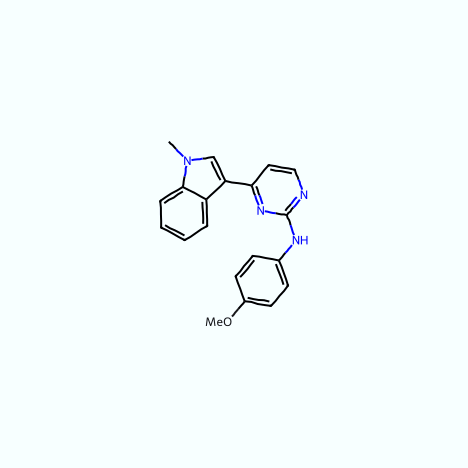 COc1ccc(Nc2nccc(-c3cn(C)c4ccccc34)n2)cc1